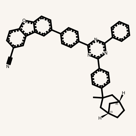 CC1(c2ccc(-c3nc(-c4ccccc4)nc(-c4ccc(-c5ccc6oc7ccc(C#N)cc7c6c5)cc4)n3)cc2)C[C@@H]2CC[C@@H](C2)C1